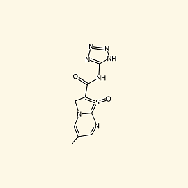 CC1=CN2CC(C(=O)Nc3nnn[nH]3)=S(=O)=C2N=C1